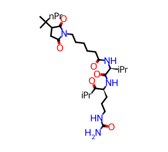 CCCC(C)(C)C1CC(=O)N(CCCCCC(=O)N[C@H](C(=O)N[C@@H](CCCNC(N)=O)C(=O)C(C)C)C(C)C)C1=O